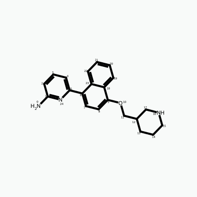 Nc1cccc(-c2ccc(OCC3CCCNC3)c3ccccc23)n1